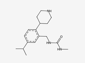 CNC(=O)NCc1cc(C(C)C)ccc1C1CCNCC1